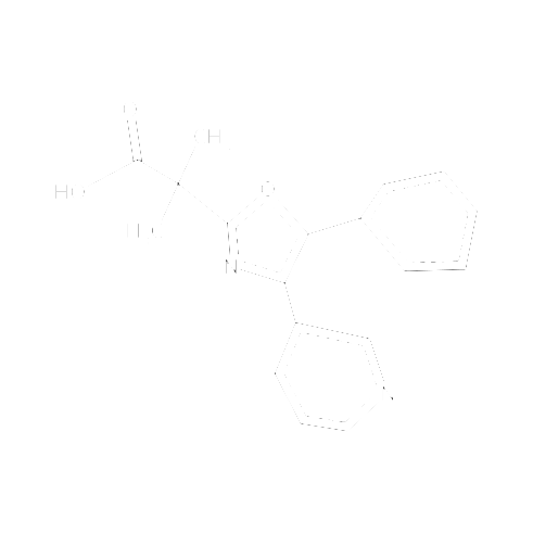 CC(C)(C(=O)O)c1nc(-c2cccnc2)c(-c2ccccc2)o1